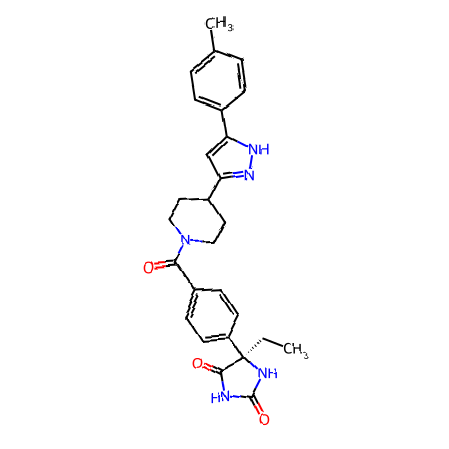 CC[C@]1(c2ccc(C(=O)N3CCC(c4cc(-c5ccc(C)cc5)[nH]n4)CC3)cc2)NC(=O)NC1=O